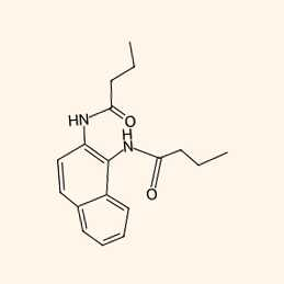 CCCC(=O)Nc1ccc2ccccc2c1NC(=O)CCC